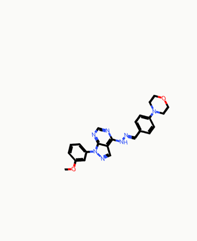 COc1cccc(-n2ncc3c(N/N=C/c4ccc(N5CCOCC5)cc4)ncnc32)c1